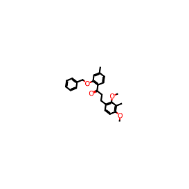 COc1ccc(CCC(=O)c2ccc(C)cc2OCc2ccccc2)c(OC)c1C